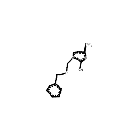 Cc1cn(COCc2ccccc2)c(C#N)n1